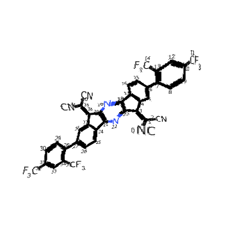 [C-]#[N+]/C(C#N)=C1/c2cc(-c3ccc(C(F)(F)F)cc3C(F)(F)F)ccc2-c2nc3c(nc21)-c1ccc(-c2ccc(C(F)(F)F)cc2C(F)(F)F)cc1/C3=C(/C#N)[N+]#[C-]